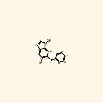 CCn1[c]nc2cc(F)c(Oc3ccccc3)nc21